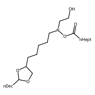 CCCCCCCCCCC1OCC(CCCCCN(CCO)OC(=O)CCCCCCC)O1